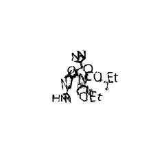 CCOC(=O)N(c1c(C(=O)c2cnn(C)c2)oc2cnc(-c3cn[nH]c3)cc12)[C@H]1CCO[C@@H](CC)C1